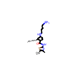 CC(=O)Nc1cc(NCCCCN)ccc1C(=O)Nc1nc(C)c(N=O)s1